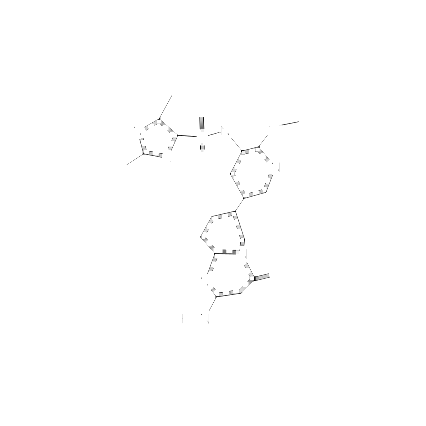 COc1ncc(-c2ccc3nc(N)cc(=O)n3c2)cc1NS(=O)(=O)c1sc(C)nc1C